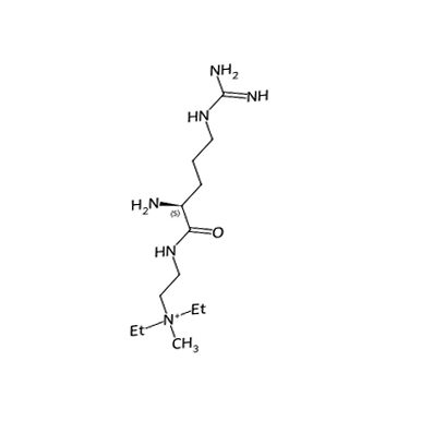 CC[N+](C)(CC)CCNC(=O)[C@@H](N)CCCNC(=N)N